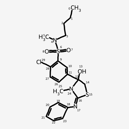 CCCCN(C)S(=O)(=O)c1cc(C2(O)CSC(=Nc3ccccc3)N2C)ccc1Cl